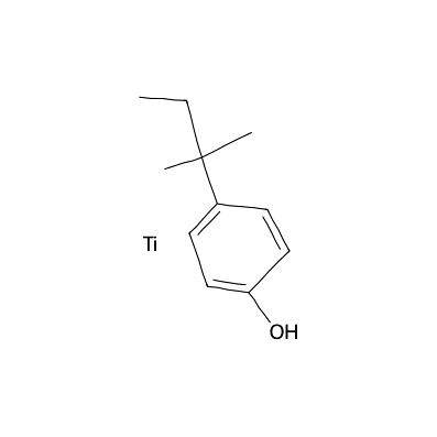 CCC(C)(C)c1ccc(O)cc1.[Ti]